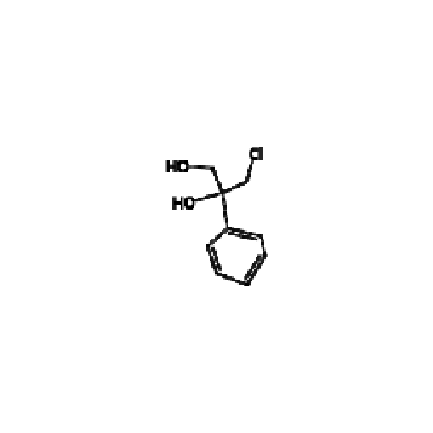 OCC(O)(CCl)c1ccccc1